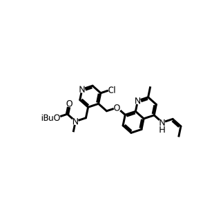 C/C=C\Nc1cc(C)nc2c(OCc3c(Cl)cncc3CN(C)C(=O)OCC(C)C)cccc12